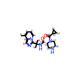 Cc1cccn2c(C(C)(C)NC(=O)[C@H]3CNCCN3C(=O)C3CC3)ncc12